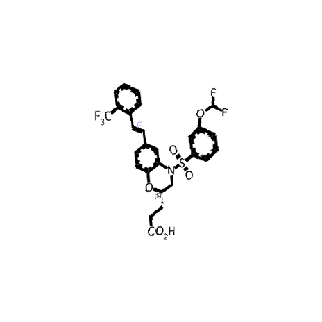 O=C(O)CC[C@H]1CN(S(=O)(=O)c2cccc(OC(F)F)c2)c2cc(/C=C/c3ccccc3C(F)(F)F)ccc2O1